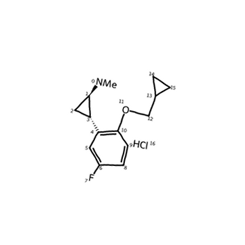 CN[C@@H]1C[C@H]1c1cc(F)ccc1OCC1CC1.Cl